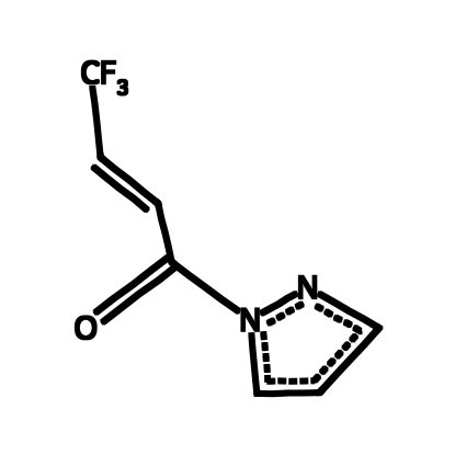 O=C(/C=C/C(F)(F)F)n1cccn1